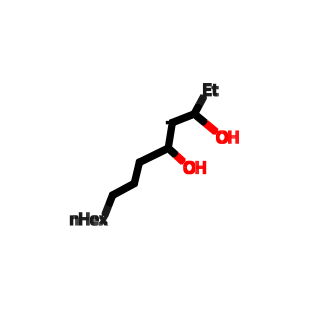 CCCCCCCCCC(O)[CH]C(O)CC